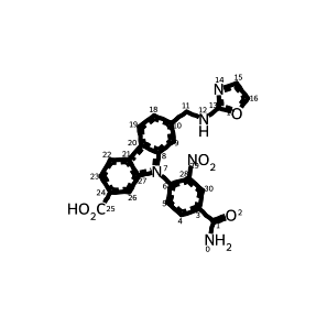 NC(=O)c1ccc(-n2c3cc(CNc4ncco4)ccc3c3ccc(C(=O)O)cc32)c([N+](=O)[O-])c1